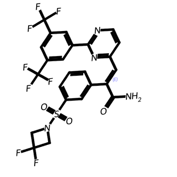 NC(=O)/C(=C/c1ccnc(-c2cc(C(F)(F)F)cc(C(F)(F)F)c2)n1)c1cccc(S(=O)(=O)N2CC(F)(F)C2)c1